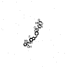 O=C1COc2ncc(N3CC4(CCN(CC5Cc6cc(NC(=O)[C@]7(CO)CCCN7)cc(F)c6C5)CC4)OC3=O)nc2N1